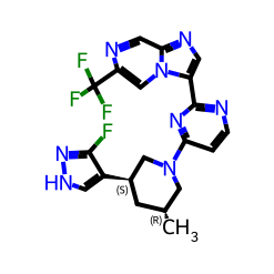 C[C@@H]1C[C@@H](c2c[nH]nc2F)CN(c2ccnc(-c3cnc4cnc(C(F)(F)F)cn34)n2)C1